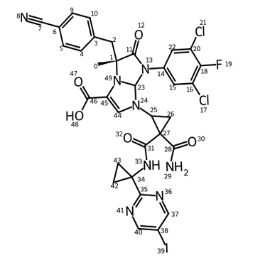 C[C@@]1(Cc2ccc(C#N)cc2)C(=O)N(c2cc(Cl)c(F)c(Cl)c2)C2N(C3CC3(C(N)=O)C(=O)NC3(c4ncc(I)cn4)CC3)C=C(C(=O)O)N21